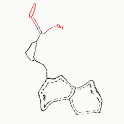 O=C(O)C1CC1c1ccc2ccccc2c1